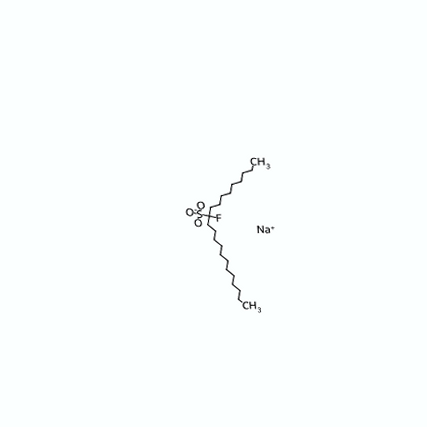 CCCCCCCCCCCCC(F)(CCCCCCCCC)S(=O)(=O)[O-].[Na+]